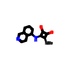 CNc1c(Nc2cccc3cnccc23)c(=O)c1=O